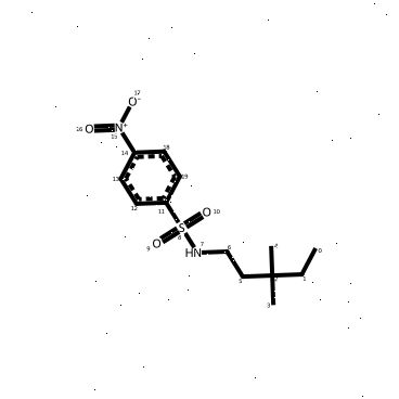 CCC(C)(C)CCNS(=O)(=O)c1ccc([N+](=O)[O-])cc1